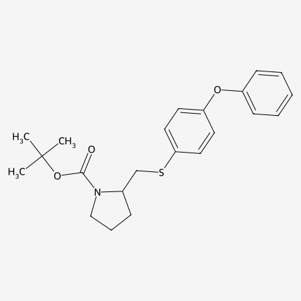 CC(C)(C)OC(=O)N1CCCC1CSc1ccc(Oc2ccccc2)cc1